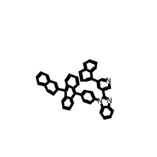 c1ccc2cc(-c3c4ccccc4c(-c4ccc(-n5c(-c6cncc(-c7cccc8ccccc78)c6)nc6ccccc65)cc4)c4ccccc34)ccc2c1